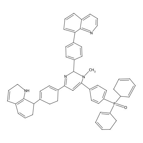 CN1C(c2ccc(P(=O)(C3=CC=CCC3)C3C=CC=CC3)cc2)=CC(C2=CC=C(C3CC=CC4=C3NCC=C4)CC2)=NC1c1ccc(-c2cccc3cccnc23)cc1